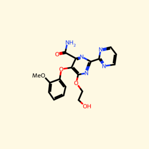 COc1ccccc1Oc1c(OCCO)nc(-c2ncccn2)nc1C(N)=O